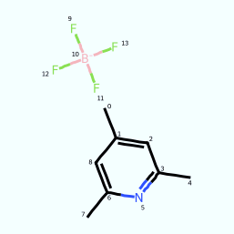 Cc1cc(C)nc(C)c1.F[B-](F)(F)F